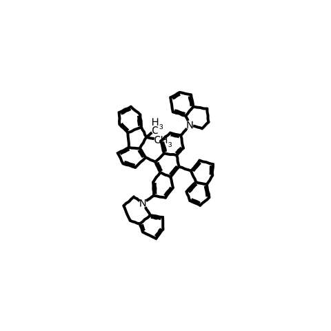 CC1(C)c2ccccc2-c2cccc(-c3c4cc(N5CCCc6ccccc65)ccc4c(-c4cccc5ccccc45)c4cc(N5CCCc6ccccc65)ccc34)c21